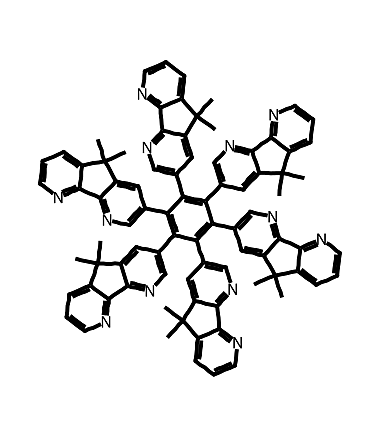 CC1(C)c2cccnc2-c2ncc(-c3c(-c4cnc5c(c4)C(C)(C)c4cccnc4-5)c(-c4cnc5c(c4)C(C)(C)c4cccnc4-5)c(-c4cnc5c(c4)C(C)(C)c4cccnc4-5)c(-c4cnc5c(c4)C(C)(C)c4cccnc4-5)c3-c3cnc4c(c3)C(C)(C)c3cccnc3-4)cc21